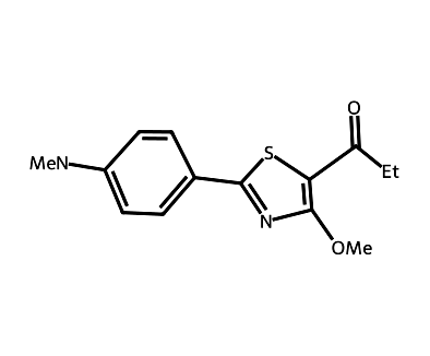 CCC(=O)c1sc(-c2ccc(NC)cc2)nc1OC